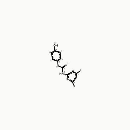 Cc1cc(C)nc(NC(=O)Cc2ccc(O)cc2)c1